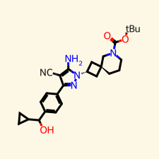 CC(C)(C)OC(=O)N1CCC[C@]2(C1)C[C@@H](n1nc(-c3ccc(C(O)C4CC4)cc3)c(C#N)c1N)C2